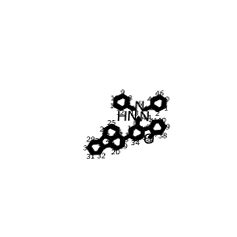 c1ccc(C2=NC(c3ccccc3)NC(c3cc(-c4ccc5c6c(cccc46)-c4ccccc4-5)cc4oc5ccccc5c34)=N2)cc1